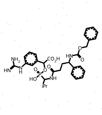 CC(C)C(NC(=O)CCC(NC(=O)OCc1ccccc1)c1ccccc1)P(=O)(O)OC(C(=O)O)c1cccc(NC(=N)N)c1